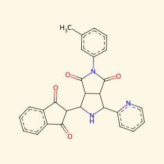 Cc1cccc(N2C(=O)C3C(c4ccccn4)NC(C4C(=O)c5ccccc5C4=O)C3C2=O)c1